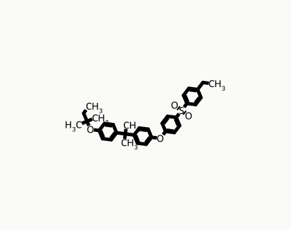 CCc1ccc(S(=O)(=O)c2ccc(Oc3ccc(C(C)(C)c4ccc(OC(C)(C)CC)cc4)cc3)cc2)cc1